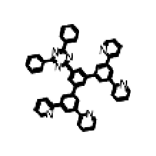 c1ccc(-c2nc(-c3ccccc3)nc(-c3cc(-c4cc(-c5ccccn5)cc(-c5ccccn5)c4)cc(-c4cc(-c5ccccn5)cc(-c5ccccn5)c4)c3)n2)cc1